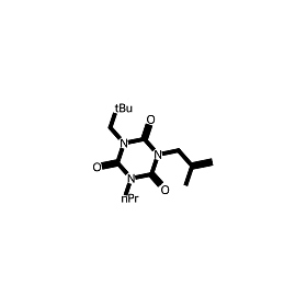 C=C(C)Cn1c(=O)n(CCC)c(=O)n(CC(C)(C)C)c1=O